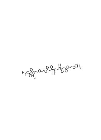 C=C(C)C(=O)OCCOCCOC(=O)CC(=O)NCCNC(=O)CC(=O)OCCOC